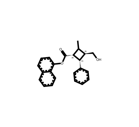 CC1[C@@H](CO)[C@H](c2ccccc2)[C@@H]1C(=O)Oc1cccc2ccccc12